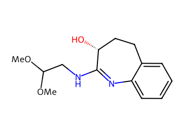 COC(CNC1=Nc2ccccc2CC[C@H]1O)OC